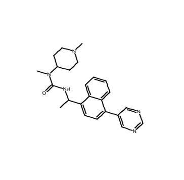 CC(NC(=O)N(C)C1CCN(C)CC1)c1ccc(-c2cncnc2)c2ccccc12